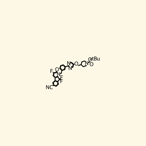 CC(C)(C)OC(=O)N1CCC(COc2cnc(-c3cccc(Cn4c5c(cc(F)c4=O)-c4cc(C#N)ccc4C5(F)F)c3)nc2)CC1